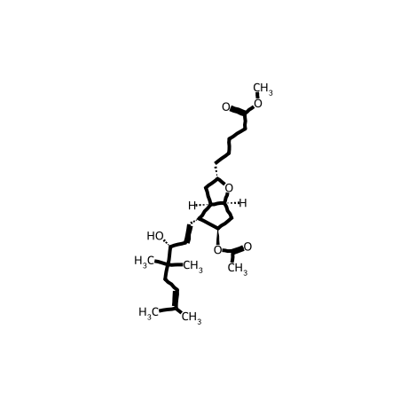 COC(=O)CCCC[C@H]1C[C@@H]2[C@@H](/C=C/[C@@H](O)C(C)(C)CC=C(C)C)[C@H](OC(C)=O)C[C@@H]2O1